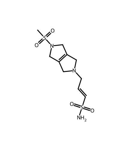 CS(=O)(=O)N1CC2=C(CN(CC=CS(N)(=O)=O)C2)C1